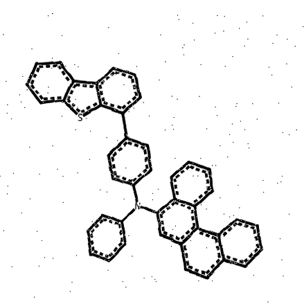 c1ccc(N(c2ccc(-c3cccc4c3sc3ccccc34)cc2)c2cc3ccc4ccccc4c3c3ccccc23)cc1